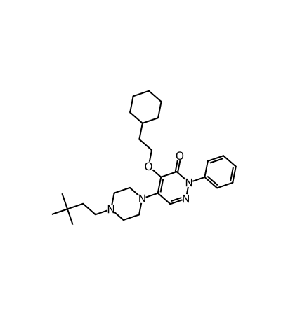 CC(C)(C)CCN1CCN(c2cnn(-c3ccccc3)c(=O)c2OCCC2CCCCC2)CC1